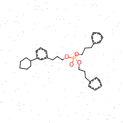 O=P(OCCCc1ccccc1)(OCCCc1ccccc1)OCCCc1cccc(C2CCCCC2)c1